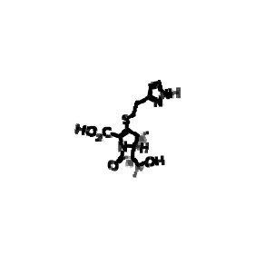 C[C@@H](O)[C@@H]1C(=O)N2C(C(=O)O)=C(SCCc3cc[nH]n3)[C@H](C)[C@@H]12